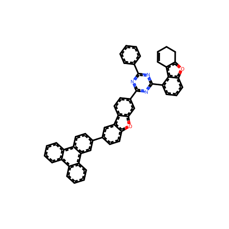 C1=Cc2c(oc3cccc(-c4nc(-c5ccccc5)nc(-c5ccc6c(c5)oc5ccc(-c7ccc8c9ccccc9c9ccccc9c8c7)cc56)n4)c23)CC1